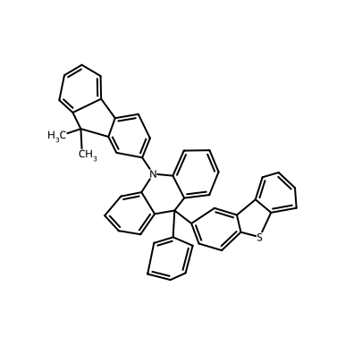 CC1(C)c2ccccc2-c2ccc(N3c4ccccc4C(c4ccccc4)(c4ccc5sc6ccccc6c5c4)c4ccccc43)cc21